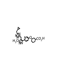 Cn1nnc(-c2ccc(OC3CCCC(C(=O)O)C3)cn2)c1Cn1nnc(CC2CC2)n1